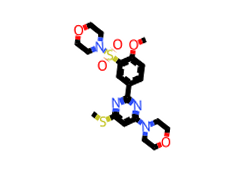 COc1ccc(-c2nc(SC)cc(N3CCOCC3)n2)cc1S(=O)(=O)N1CCOCC1